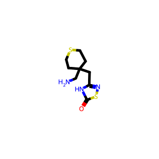 NCC1(Cc2nsc(=O)[nH]2)CCSCC1